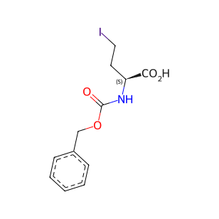 O=C(N[C@@H](CCI)C(=O)O)OCc1ccccc1